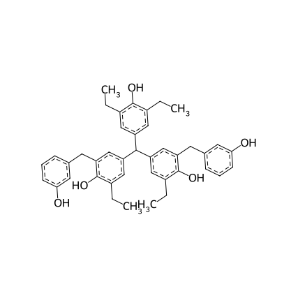 CCc1cc(C(c2cc(CC)c(O)c(Cc3cccc(O)c3)c2)c2cc(CC)c(O)c(Cc3cccc(O)c3)c2)cc(CC)c1O